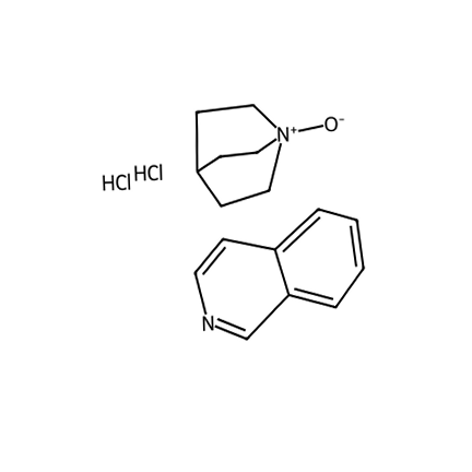 Cl.Cl.[O-][N+]12CCC(CC1)CC2.c1ccc2cnccc2c1